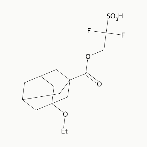 CCOC12CC3CC(C1)CC(C(=O)OCC(F)(F)S(=O)(=O)O)(C3)C2